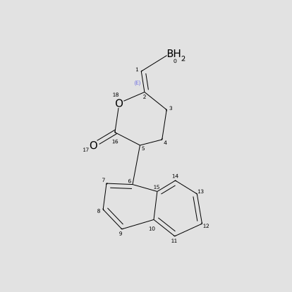 B/C=C1\CCC(c2cccc3ccccc23)C(=O)O1